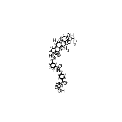 CC1(C)C(O)CCC2(C)C1CCC1(C)C3CCC4(C(=O)NCCc5cccc(C(=O)NCc6ccc(C(=O)NCC(=O)O)cc6)c5)CCCC4C3CCC12